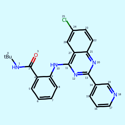 CC(C)(C)NC(=O)c1ccccc1Nc1nc(-c2cccnc2)nc2ccc(Cl)cc12